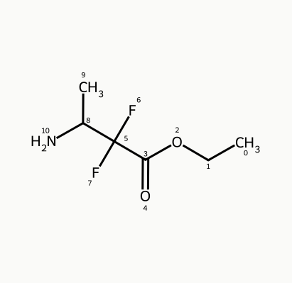 CCOC(=O)C(F)(F)C(C)N